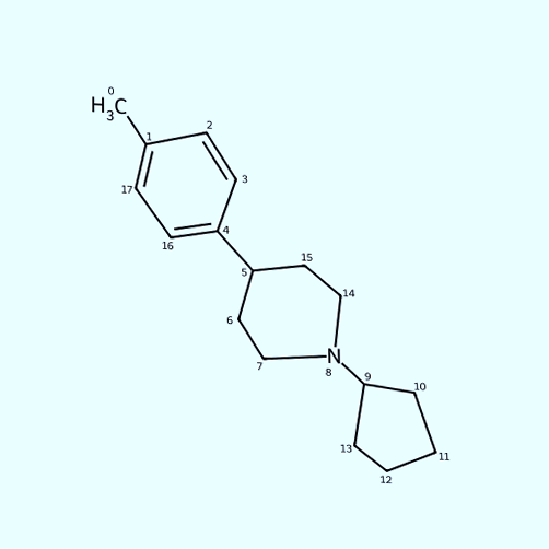 Cc1ccc(C2CCN(C3CCCC3)CC2)cc1